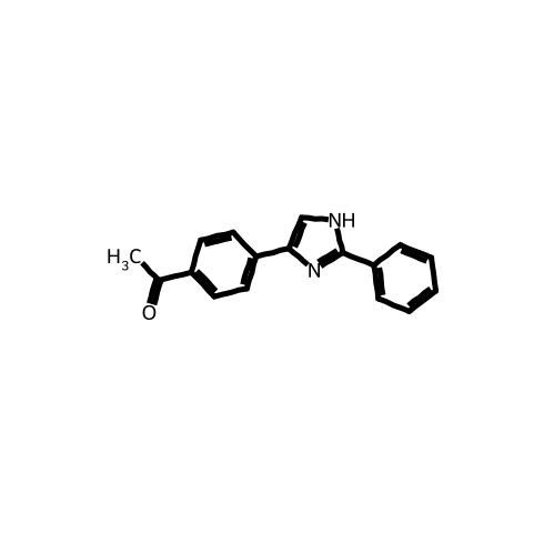 CC(=O)c1ccc(-c2c[nH]c(-c3ccccc3)n2)cc1